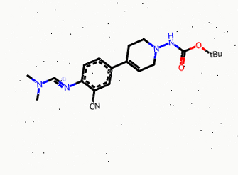 CN(C)/C=N/c1ccc(C2=CCN(NC(=O)OC(C)(C)C)CC2)cc1C#N